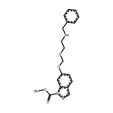 CC(C)(C)OC(=O)n1ncc2ccc(OCOCCNCc3ccccc3)cc21